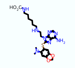 CN(C)c1cc2c(cc1Sc1nc3c(N)ncnc3n1CCNCCCCCCNC(=O)O)OCO2